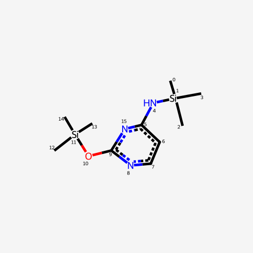 C[Si](C)(C)Nc1ccnc(O[Si](C)(C)C)n1